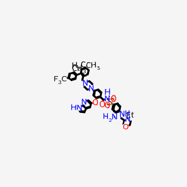 CCN1CCOCC1CNc1ccc(S(=O)(=O)NC(=O)c2ccc(N3CCN(CC4=C(c5ccc(C(F)(F)F)cc5C)CC(C)(C)CC4)CC3)cc2Oc2cnc3[nH]ccc3c2)cc1N